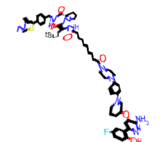 Cc1ncsc1-c1ccc(CNC(=O)[C@@H]2CCCN2C(=O)C(NC(=O)CCCCCCCCC(=O)N2CCN(c3ccc(N4CCCC(Oc5cc(-c6cc(F)ccc6O)nnc5N)C4)cc3)CC2)C(C)(C)C)cc1